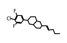 CCC/C=C/C1CCC2CC(c3cc(F)c(Cl)c(F)c3)CCC2C1